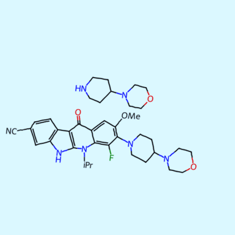 C1CC(N2CCOCC2)CCN1.COc1cc2c(=O)c3c4ccc(C#N)cc4[nH]c3n(C(C)C)c2c(F)c1N1CCC(N2CCOCC2)CC1